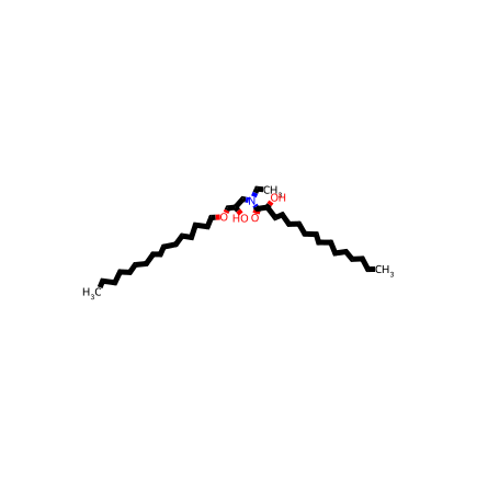 CCCCCCCCCCCCCCCCOCC(O)CN(CC)C(=O)C(O)CCCCCCCCCCCCCC